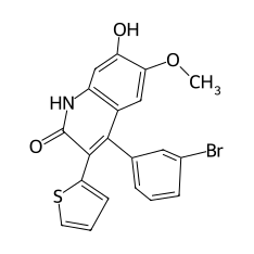 COc1cc2c(-c3cccc(Br)c3)c(-c3cccs3)c(=O)[nH]c2cc1O